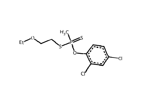 CCOCCSP(C)(=S)Oc1ccc(Cl)cc1Cl